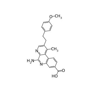 COc1ccc(CCc2cnc3c(N)nc4cc(C(=O)O)ccc4c3c2C)cc1